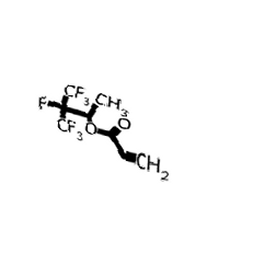 C=CC(=O)OC(C)C(F)(C(F)(F)F)C(F)(F)F